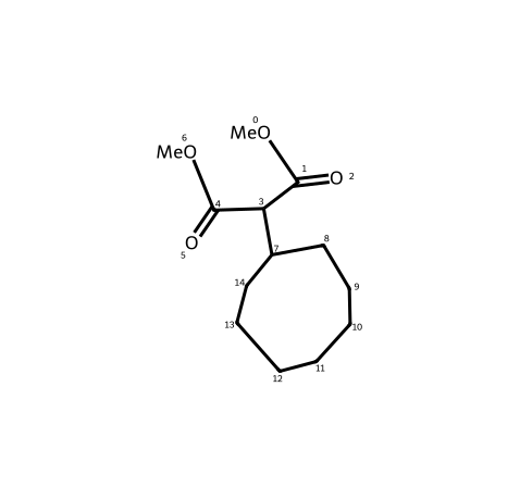 COC(=O)C(C(=O)OC)C1CCCCCCC1